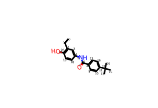 CCc1cc(NC(=O)c2ccc(C(C)(C)C)cc2)ccc1O